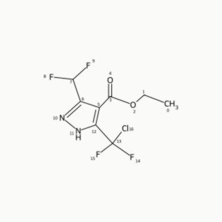 CCOC(=O)c1c(C(F)F)n[nH]c1C(F)(F)Cl